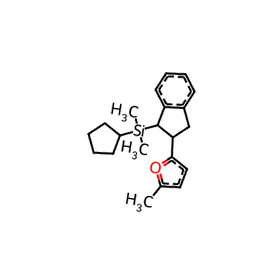 Cc1ccc(C2Cc3ccccc3C2[Si](C)(C)C2CCCC2)o1